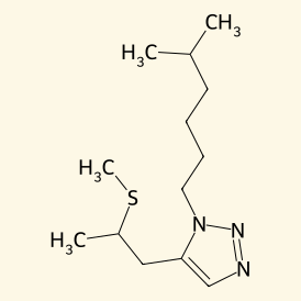 CSC(C)Cc1cnnn1CCCCC(C)C